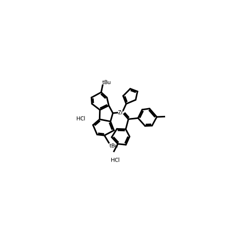 Cc1ccc([C](c2ccc(C)cc2)=[Zr]([C]2=CC=CC2)[CH]2c3cc(C(C)(C)C)ccc3-c3ccc(C(C)(C)C)cc32)cc1.Cl.Cl